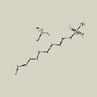 CCCCCCCCCCCS(=O)(=O)O.CNC.F